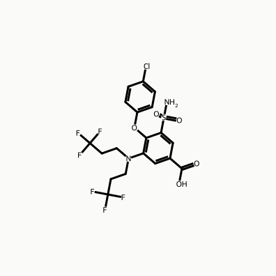 NS(=O)(=O)c1cc(C(=O)O)cc(N(CCC(F)(F)F)CCC(F)(F)F)c1Oc1ccc(Cl)cc1